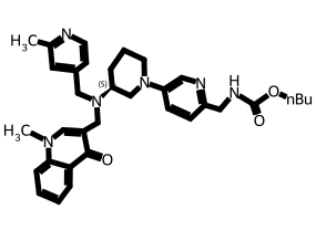 CCCCOC(=O)NCc1ccc(N2CCC[C@H](N(Cc3ccnc(C)c3)Cc3cn(C)c4ccccc4c3=O)C2)cn1